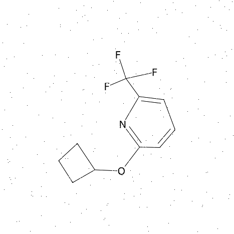 FC(F)(F)c1cccc(OC2CCC2)n1